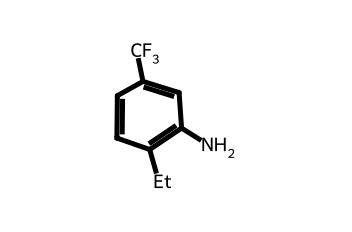 CCc1ccc(C(F)(F)F)cc1N